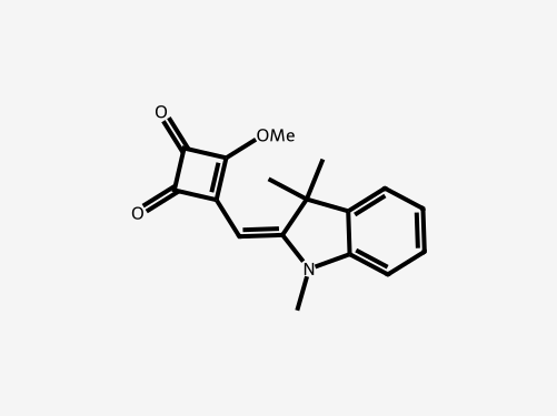 COc1c(C=C2N(C)c3ccccc3C2(C)C)c(=O)c1=O